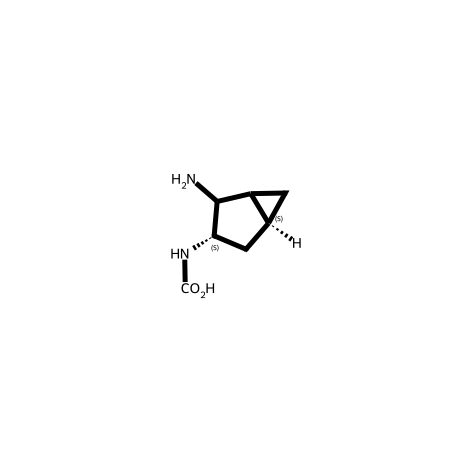 NC1C2C[C@H]2C[C@@H]1NC(=O)O